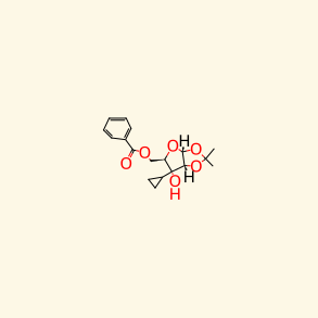 CC1(C)O[C@H]2O[C@H](COC(=O)c3ccccc3)[C@](O)(C3CC3)[C@H]2O1